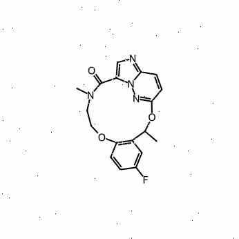 CC1Oc2ccc3ncc(n3n2)C(=O)N(C)CCOc2ccc(F)cc21